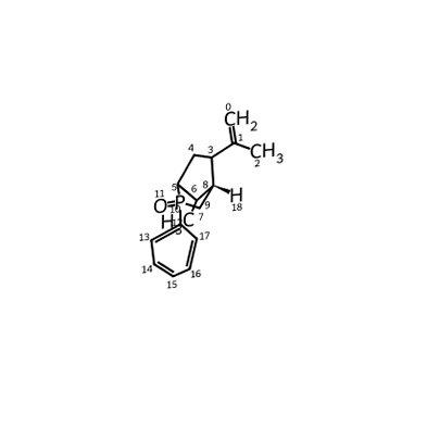 C=C(C)C1CC2C(C)[C@H]1CP2(=O)c1ccccc1